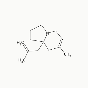 C=C(C)CC12CCCN1CC=C(C)C2